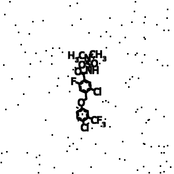 CN(C)S(=O)(=O)NC(=O)c1cc(Cl)c(COc2ccc(Cl)c(C(F)(F)F)c2)cc1F